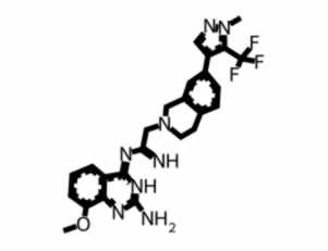 COc1cccc2/c(=N/C(=N)CN3CCc4ccc(-c5cnn(C)c5C(F)(F)F)cc4C3)[nH]c(N)nc12